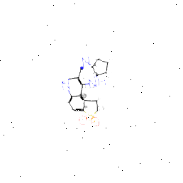 N#Cc1cnc2ccc3c(c2c1NC1CCCC1)CCS3(=O)=O